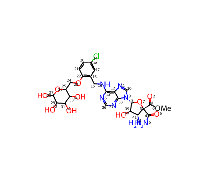 COC(=O)[C@]1(C(N)=O)O[C@@H](n2cnc3c(NCc4cc(Cl)ccc4OCC4OC(O)C(O)C(O)C4O)ncnc32)[C@H](O)[C@@H]1N